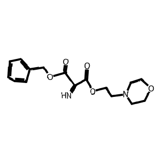 N=C(C(=O)OCCN1CCOCC1)C(=O)OCc1ccccc1